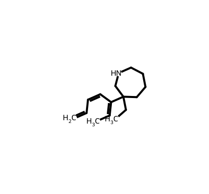 C=C/C=C\C(=C/C)C1(CC)CCCCNC1